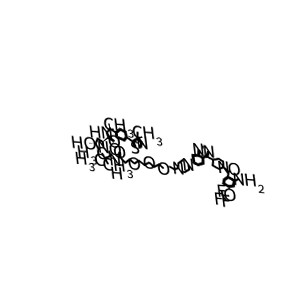 Cc1ncsc1-c1ccc([C@H](C)NC(=O)[C@@H]2C[C@@H](O)CN2C(=O)[C@@H](NC(=O)CCOCCOCCOCCN2CCN(c3ccc4c(C5CCN(C(=O)c6ccc(OC(F)(F)F)cc6N)CC5)ncnc4c3)CC2)C(C)(C)C)cc1